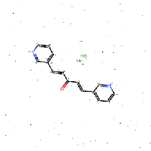 Cl.Cl.O=C(/C=C/c1cccnc1)/C=C/c1cccnc1